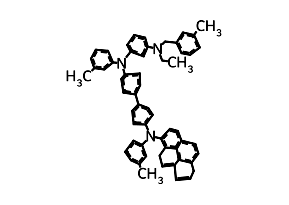 CCN(Cc1cccc(C)c1)c1cccc(N(c2ccc(-c3ccc(N(c4cccc(C)c4)c4ccc5ccc6c7c5c4CC=C7C=CC6)cc3)cc2)c2cccc(C)c2)c1